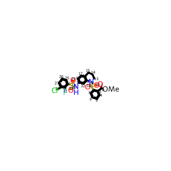 COC(=O)c1ccccc1S(=O)(=O)N1CCCc2ccc(NS(=O)(=O)c3cccc(Cl)c3F)cc21